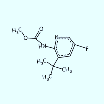 COC(=O)Nc1ncc(F)cc1C(C)(C)C